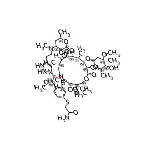 CC[C@H]1OC(=O)[C@H](C)[C@@H](O[C@H]2C[C@@](C)(OC)[C@@H](O)[C@H](C)O2)[C@H](C)[C@@H](O[C@@H]2O[C@H](C)C[C@H](N(C)CCC3=CN([C@H](CF)[C@H](OC)c4ccc(SCC(N)=O)cc4)NN3)[C@H]2O)[C@](C)(O)C[C@@H](C)CN(C)[C@H](C)[C@@H](O)[C@]1(C)O